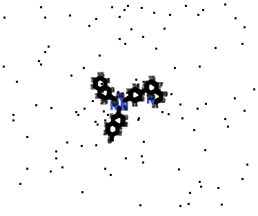 CC1C=Cc2cc(-c3nc(-c4ccc(-c5cccc6cccnc56)cc4)nc(-c4ccc5c(c4)CCC=C5)n3)ccc2C1